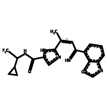 C/C(=C/C(=N)c1cccc2ncoc12)c1ncc(C(=O)NC(C2CC2)C(F)(F)F)[nH]1